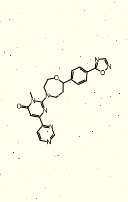 Cn1c(N2CCOC(c3ccc(-c4ncno4)cc3)CC2)nc(-c2ccncn2)cc1=O